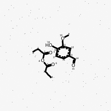 CCC(=O)OC(=O)CC.COc1cc(C=O)ccc1O